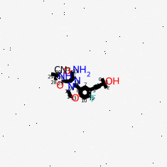 CC(C)(O)C#Cc1cc2c(cc1F)OCCn1c-2nc(C(N)=O)c1C(=O)NC(C)(C)C#N